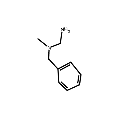 CN(CN)Cc1ccccc1